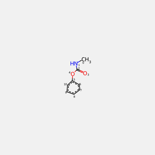 CNC(=O)Oc1[c]cccc1